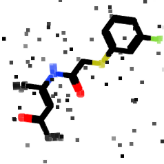 COC(=O)C=C(C)NC(=O)CSc1cccc(F)c1